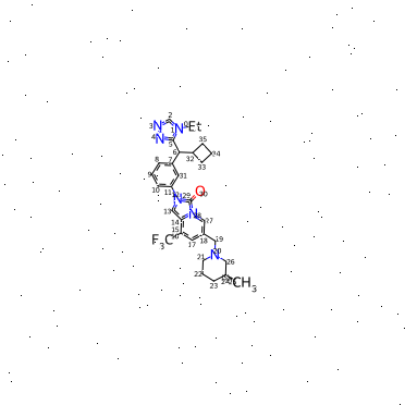 CCn1cnnc1C(c1cccc(-n2cc3c(C(F)(F)F)cc(CN4CCC[C@H](C)C4)cn3c2=O)c1)C1CCC1